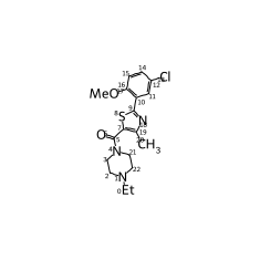 CCN1CCN(C(=O)c2sc(-c3cc(Cl)ccc3OC)nc2C)CC1